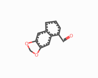 O=[C]c1cccc2cc3c(cc12)OCO3